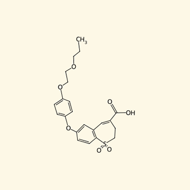 CCCOCCOc1ccc(Oc2ccc3c(c2)C=C(C(=O)O)CCS3(=O)=O)cc1